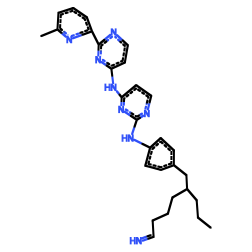 CCCC(CCCC=N)Cc1ccc(Nc2nccc(Nc3ccnc(-c4cccc(C)n4)n3)n2)cc1